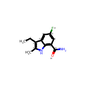 CCc1c(C)[nH]c2c(C(N)=O)cc(F)cc12